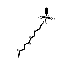 C#CS(=O)(=O)OCCCCCCCCCC